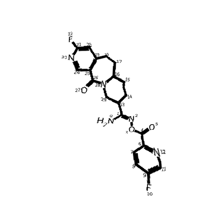 N/C(=N\OC(=O)c1ccc(F)cn1)C1CCC2CCc3cc(F)ncc3C(=O)N2C1